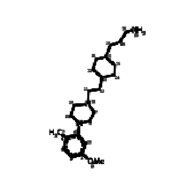 COc1ccc(C)c(N2CCN(CCC3CCC(CCCN)CC3)CC2)c1